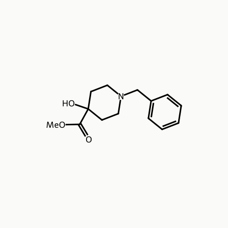 COC(=O)C1(O)CCN(Cc2ccccc2)CC1